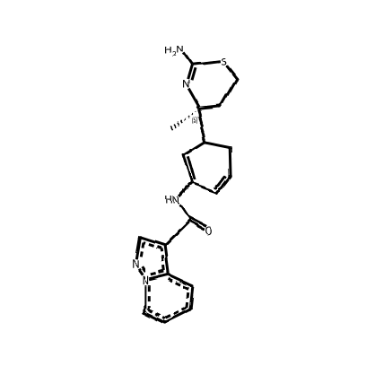 C[C@@]1(C2C=C(NC(=O)c3cnn4ccccc34)C=CC2)CCSC(N)=N1